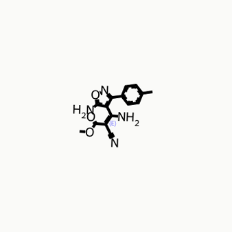 COC(=O)/C(C#N)=C(/N)c1c(-c2ccc(C)cc2)noc1N